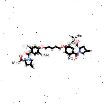 C=C1C[C@@H](CO[Si](C)(C)C(C)(C)C)N(C(=O)c2cc(OC)c(OCCCCCOc3cc([N+](=O)[O-])c(C(=O)N4CC(=C)C[C@H]4C(=O)OC)cc3OC)cc2[N+](=O)[O-])C1